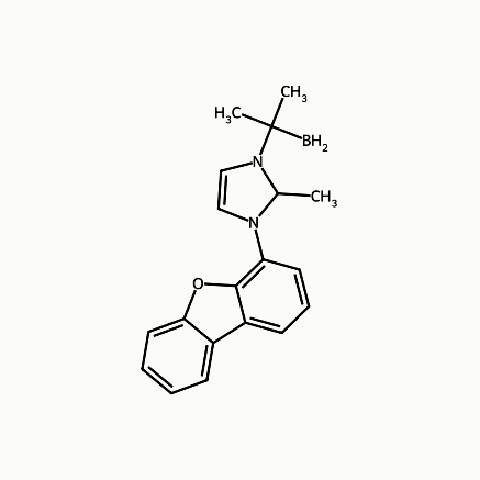 BC(C)(C)N1C=CN(c2cccc3c2oc2ccccc23)C1C